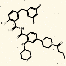 CCCC(=O)N1CCN(c2ccc(C(=O)NC(=N)c3cc(Cc4cc(F)cc(F)c4)ccc3N)c(NC3CCOCC3)c2)CC1